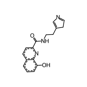 O=C(NCCC1=CN=CC1)c1ccc2cccc(O)c2n1